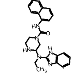 CCN(c1nc2[c]cccc2[nH]1)C1CN(C(=O)Nc2cccc3ccccc23)CCN1